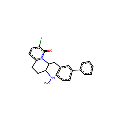 CSNC1CCc2ccc(F)c(=O)n2C1Cc1cccc(-c2ccccc2)c1